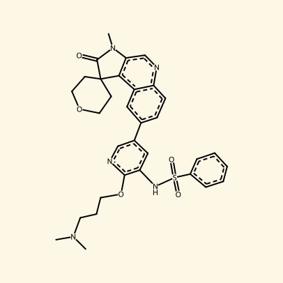 CN(C)CCCOc1ncc(-c2ccc3ncc4c(c3c2)C2(CCOCC2)C(=O)N4C)cc1NS(=O)(=O)c1ccccc1